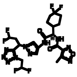 Cc1nonc1C(=O)N[C@H](C(=O)Nc1cnn(C(CC(F)F)c2nnnn2CC(F)F)c1)C1CCC(F)(F)CC1